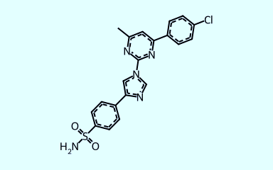 Cc1cc(-c2ccc(Cl)cc2)nc(-n2cnc(-c3ccc(S(N)(=O)=O)cc3)c2)n1